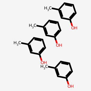 Cc1cccc(O)c1.Cc1cccc(O)c1.Cc1cccc(O)c1.Cc1cccc(O)c1